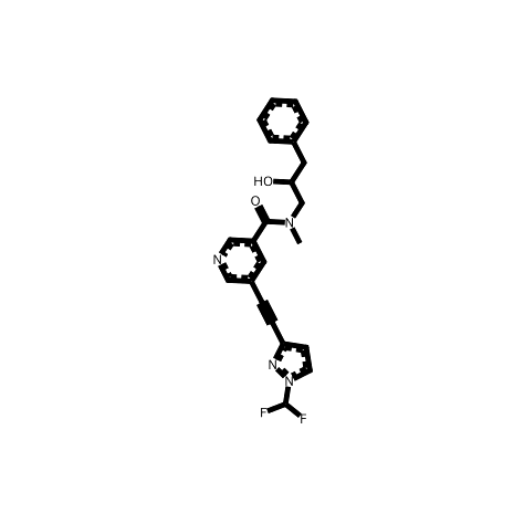 CN(CC(O)Cc1ccccc1)C(=O)c1cncc(C#Cc2ccn(C(F)F)n2)c1